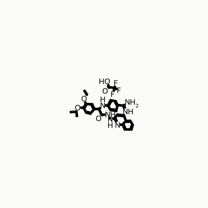 CCOc1cc(C(Nc2ccc(C(=N)N)cc2)C(=O)NNc2ccc3ccccc3n2)ccc1OC(C)C.O=C(O)C(F)(F)F